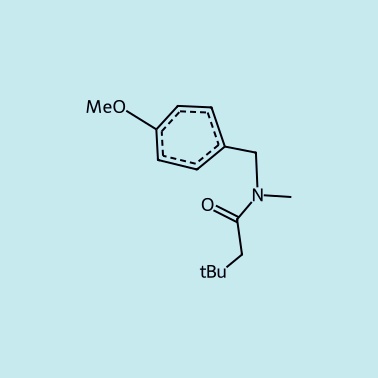 COc1ccc(CN(C)C(=O)CC(C)(C)C)cc1